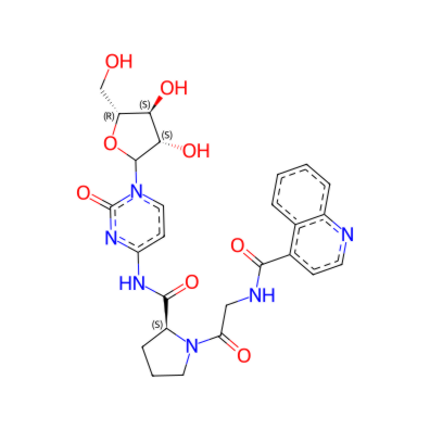 O=C(NCC(=O)N1CCC[C@H]1C(=O)Nc1ccn(C2O[C@H](CO)[C@@H](O)[C@@H]2O)c(=O)n1)c1ccnc2ccccc12